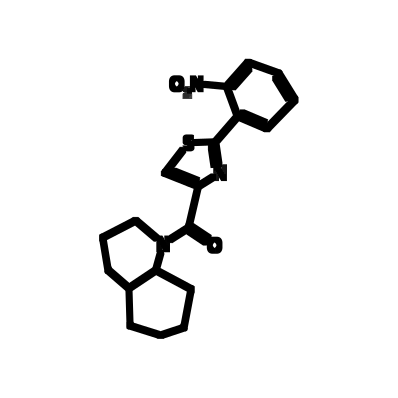 O=C(c1csc(-c2ccccc2[N+](=O)[O-])n1)N1CCCC2CCCCC21